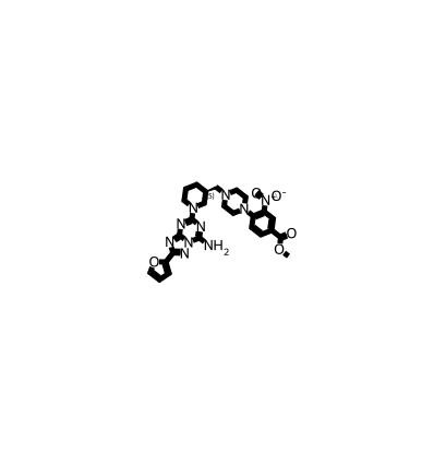 COC(=O)c1ccc(N2CCN(C[C@@H]3CCCN(c4nc(N)n5nc(-c6ccco6)nc5n4)C3)CC2)c([N+](=O)[O-])c1